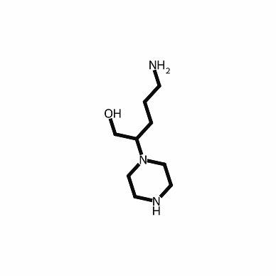 NCCCC(CO)N1CCNCC1